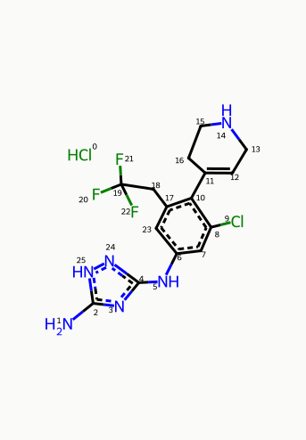 Cl.Nc1nc(Nc2cc(Cl)c(C3=CCNCC3)c(CC(F)(F)F)c2)n[nH]1